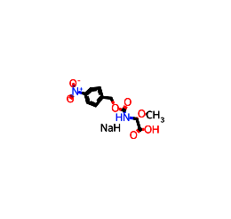 COC(NC(=O)OCc1ccc([N+](=O)[O-])cc1)C(=O)O.[NaH]